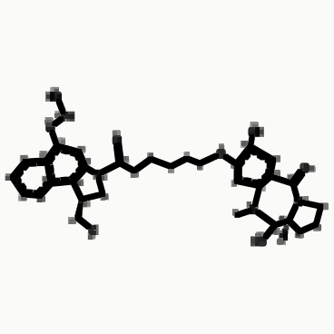 CN1c2cc(OCCCCCC(=O)N3C[C@@H](CCl)c4c3cc(OPO)c3ccccc43)c(O)cc2C(=O)N2CCC[C@H]2C1O